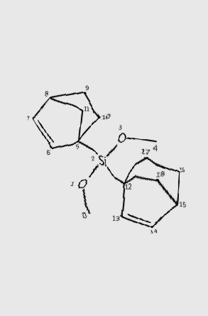 CO[Si](OC)(C12C=CC(CC1)C2)C12C=CC(CC1)C2